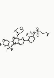 C[C@@H]1COCCN1c1nc(-c2cnc(N)cc2C(F)(F)F)nc2ccc(-c3cccc(NS(=O)(=O)CCCF)c3F)nc12